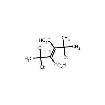 CCC(C)(C)/C(C(=O)O)=C(\C(=O)O)C(C)(C)CC